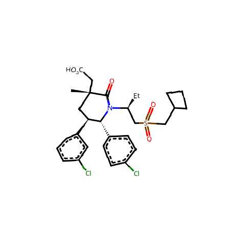 CC[C@@H](CS(=O)(=O)CC1CCC1)N1C(=O)[C@@](C)(CC(=O)O)C[C@H](c2cccc(Cl)c2)[C@H]1c1ccc(Cl)cc1